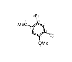 CCc1cc(CC)c(OC)cc1OC